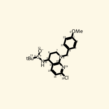 COc1ccc(CN2CCC(N[S+]([O-])C(C)(C)C)c3ccc(Cl)nc32)cc1